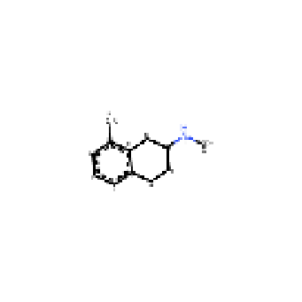 CC(C)NC1CCc2cccc(C#N)c2C1